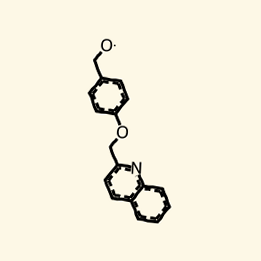 [O]Cc1ccc(OCc2ccc3ccccc3n2)cc1